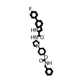 O=C(NCc1ccccc1)OC1CCC(N2CC[C@H](NC(=O)c3cc4ccc(-c5ccc(F)cc5)cc4[nH]3)C2)CC1